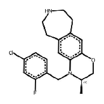 C[C@@H]1COc2cc3c(cc2N1Cc1ccc(Cl)cc1F)CCNCC3